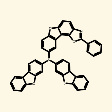 c1ccc(-c2nc3ccc4oc5ccc(N(c6ccc7c(c6)oc6ccccc67)c6ccc7c(c6)sc6ccccc67)cc5c4c3o2)cc1